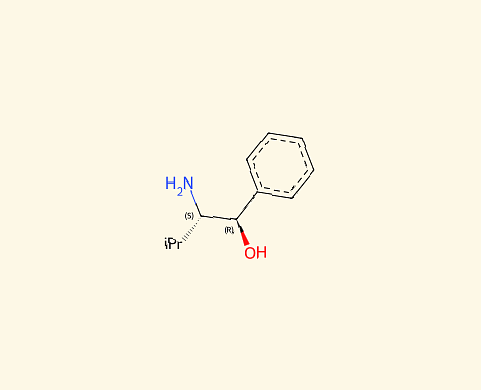 CC(C)[C@H](N)[C@H](O)c1ccccc1